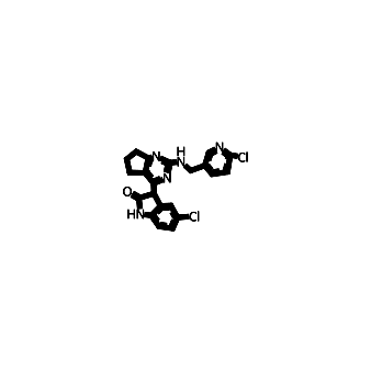 O=C1Nc2ccc(Cl)cc2C1c1nc(NCc2ccc(Cl)nc2)nc2c1CCC2